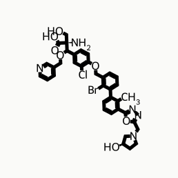 Cc1c(-c2nnc(CN3CC[C@@H](O)C3)o2)cccc1-c1cccc(COc2ccc(C(OCc3cccnc3)[C@](N)(CO)C(=O)O)cc2Cl)c1Br